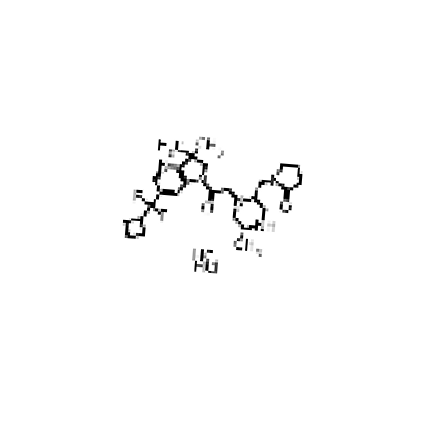 C[C@@H]1CN(CC(=O)N2CC(C)(C)c3ncc(C(F)(F)C4CCC4)cc32)[C@@H](CN2CCCC2=O)CN1.Cl.Cl